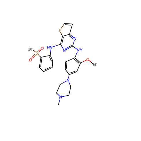 CCOc1cc(N2CCN(C)CC2)ccc1Nc1nc(Nc2ccccc2S(=O)(=O)C(C)C)c2sccc2n1